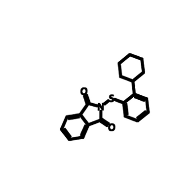 O=C1c2ccccc2C(=O)N1Sc1ccccc1C1CCCCC1